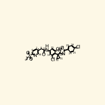 CCS(=O)(=O)c1ccc(CC(=O)Nc2cc(Cl)c(C3(c4noc(-c5ccc(Cl)cc5)n4)CC3)c(Cl)c2)cn1